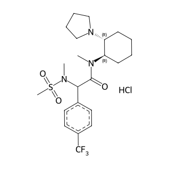 CN(C(=O)C(c1ccc(C(F)(F)F)cc1)N(C)S(C)(=O)=O)[C@@H]1CCCC[C@H]1N1CCCC1.Cl